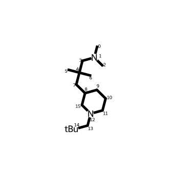 CN(C)CC(C)(C)CC1CCCN(CC(C)(C)C)C1